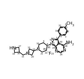 Cc1ccc(-c2nn([C@@H]3CCN(C4CN(CC5CNC5)C4)C[C@H]3F)c3ncnc(N)c23)cc1